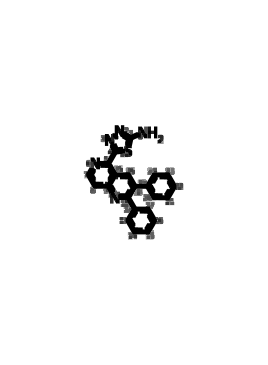 Nc1nnc(-c2nccc3nc(-c4cc[c]cc4)c(-c4ccccc4)cc23)s1